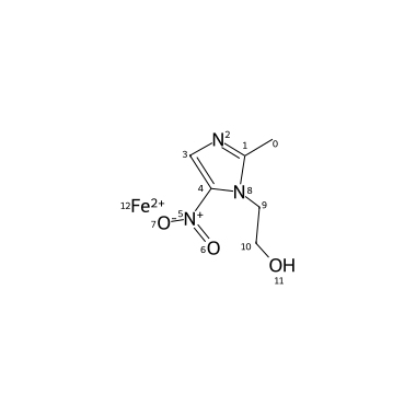 Cc1ncc([N+](=O)[O-])n1CCO.[Fe+2]